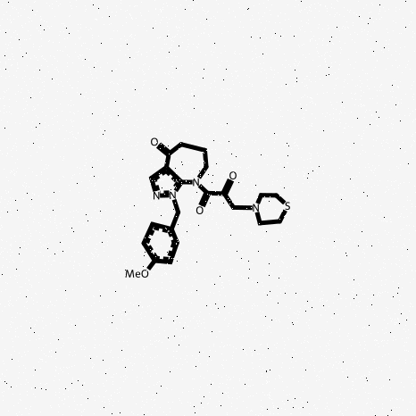 COc1ccc(Cn2ncc3c2N(C(=O)C(=O)CN2CCSCC2)CCCC3=O)cc1